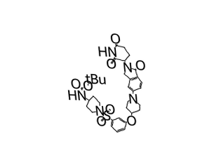 CC(C)(C)OC(=O)NC1CCN(S(=O)(=O)c2cccc(OC3CCN(c4ccc5c(c4)CN(C4CCC(=O)NC4=O)C5=O)CC3)c2)CC1